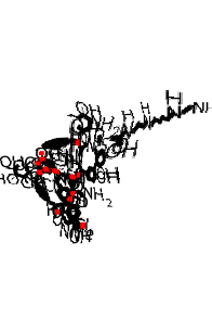 CN[C@H](CC(C)O)C(=O)N[C@H]1C(=O)N[C@@H](CC(N)=O)C(=O)N[C@H]2C(=O)N[C@H]3C(=O)N[C@H](C(=O)N[C@H](C(=O)SCC(=O)NCCCNCCCCCNCCN)c4cc(O)cc(O)c4-c4cc3ccc4O)[C@H](O[C@H]3C[C@](C)(N)[C@@H](O)[C@H](C)O3)c3ccc(c(Cl)c3)Oc3cc2cc(c3O[C@@H]2O[C@H](CO)[C@@H](O)[C@H](O)[C@H]2O[C@H]2C[C@](C)(NCc3ccc(-c4ccc(Cl)cc4)cc3)[C@@H](O)[C@H](C)O2)Oc2ccc(cc2Cl)[C@H]1O